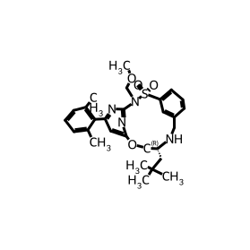 COCN1c2nc(cc(-c3c(C)cccc3C)n2)OC[C@@H](CC(C)(C)C)NCc2cccc(c2)S1(=O)=O